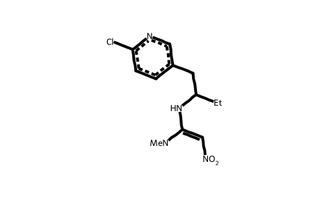 CCC(Cc1ccc(Cl)nc1)NC(=C[N+](=O)[O-])NC